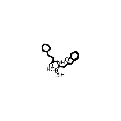 O=C(CCC1CCCCC1)NC(Cc1cc2ccccc2o1)B(O)O